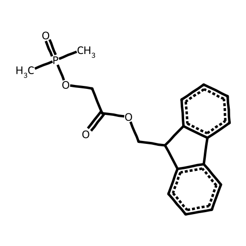 CP(C)(=O)OCC(=O)OCC1c2ccccc2-c2ccccc21